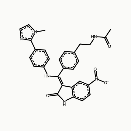 CC(=O)NCCc1ccc(/C(Nc2ccc(-c3nccn3C)cc2)=C2/C(=O)Nc3ccc([N+](=O)[O-])cc32)cc1